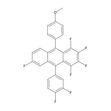 COc1ccc(-c2c3ccc(F)cc3c(-c3ccc(F)c(F)c3)c3c(F)c(F)c(F)c(F)c23)cc1